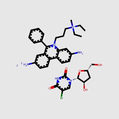 CC[N+](C)(CC)CCC[n+]1c(-c2ccccc2)c2cc(N)ccc2c2ccc(N)cc21.O=c1[nH]c(=O)n([C@@H]2O[C@H](CO)C[C@H]2O)cc1Br.[I-].[I-]